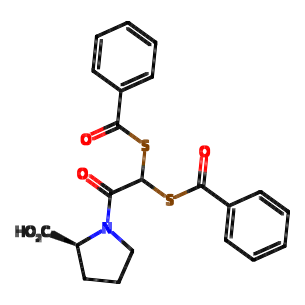 O=C(SC(SC(=O)c1ccccc1)C(=O)N1CCC[C@H]1C(=O)O)c1ccccc1